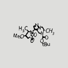 COC1CS(=O)(=O)N(c2cnn3c2CN(C(=O)OC(C)(C)C)[C@@H](C)C3)C1C